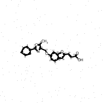 Cc1oc(-c2ccccc2)nc1COc1ccc2cc(/C=C/C(=O)O)oc2c1